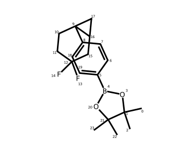 CC1(C)OB(c2ccc(C34CCC(F)(F)CC3C4)cc2)OC1(C)C